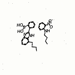 CCCCNc1ccccc1[N+](=O)[O-].CCCCc1cccc2nc(-c3ccccc3B(O)O)[nH]c12